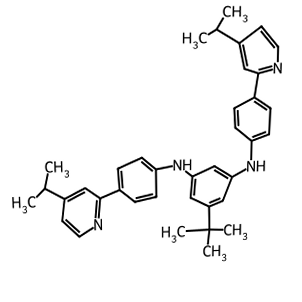 CC(C)c1ccnc(-c2ccc(Nc3cc(Nc4ccc(-c5cc(C(C)C)ccn5)cc4)cc(C(C)(C)C)c3)cc2)c1